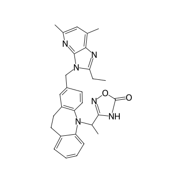 CCc1nc2c(C)cc(C)nc2n1Cc1ccc2c(c1)CCc1ccccc1N2C(C)c1noc(=O)[nH]1